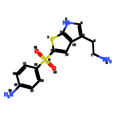 NCCc1c[nH]c2sc(S(=O)(=O)c3ccc(N)cc3)cc12